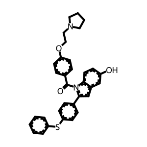 O=C(c1ccc(OCCN2CCCC2)cc1)n1c(-c2ccc(Sc3ccccc3)cc2)cc2cc(O)ccc21